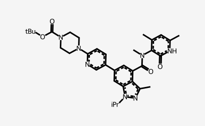 Cc1cc(C)c(N(C)C(=O)c2cc(-c3ccc(N4CCN(C(=O)OC(C)(C)C)CC4)nc3)cc3c2c(C)nn3C(C)C)c(=O)[nH]1